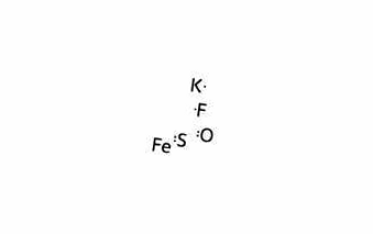 [F].[Fe].[K].[O].[S]